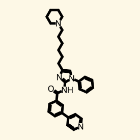 O=C(Nc1nc(CCCCCCN2CCCCC2)cn1-c1ccccc1)c1cccc(-c2ccncc2)c1